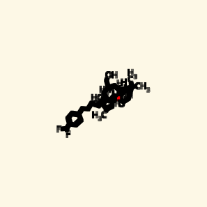 CC1=C[C@H]2[C@@]3(O)CC[C@]4(CC(=O)[C@@H](N)CCCCCCc5ccc(C(F)F)cc5)[C@H]([C@@H]3C=C(CO)C[C@]2(O)C1=O)C4(C)C